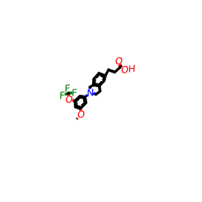 COc1cc(OC(F)(F)F)cc(N2CCc3cc(CCC(=O)O)ccc3C2)c1